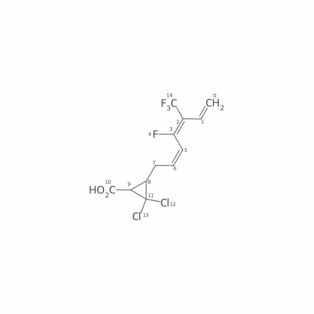 C=C/C(=C(F)\C=C/CC1C(C(=O)O)C1(Cl)Cl)C(F)(F)F